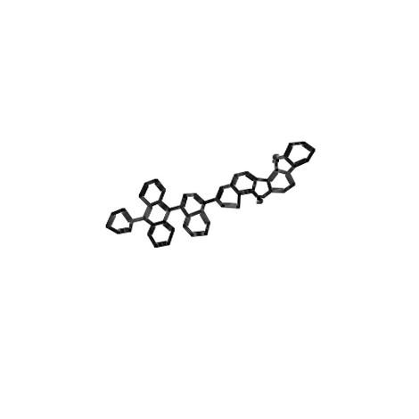 c1ccc(-c2c3ccccc3c(-c3ccc(-c4ccc5c(ccc6c5sc5ccc7c8ccccc8sc7c56)c4)c4ccccc34)c3ccccc23)cc1